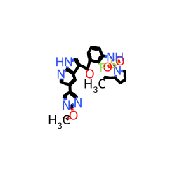 CCC1CCCN1S(=O)(=O)Nc1cccc(C(=O)c2c[nH]c3ncc(-c4cnc(OC)nc4)cc23)c1F